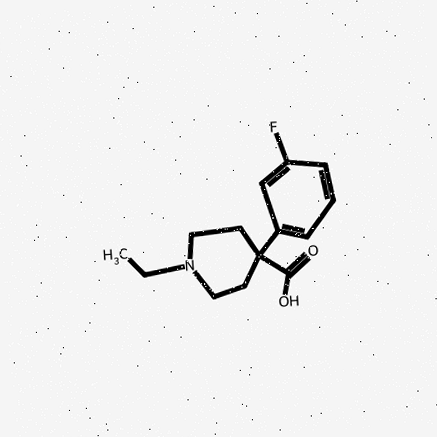 CCN1CCC(C(=O)O)(c2cccc(F)c2)CC1